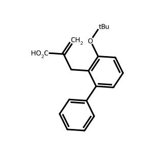 C=C(Cc1c(OC(C)(C)C)cccc1-c1ccccc1)C(=O)O